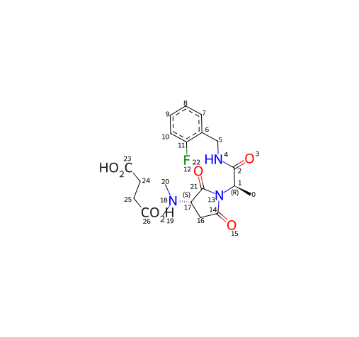 C[C@H](C(=O)NCc1ccccc1F)N1C(=O)C[C@H](N(C)C)C1=O.O=C(O)CCC(=O)O